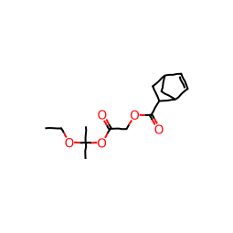 CCOC(C)(C)OC(=O)COC(=O)C1CC2C=CC1C2